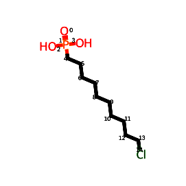 O=P(O)(O)CCCCCCCCCCCl